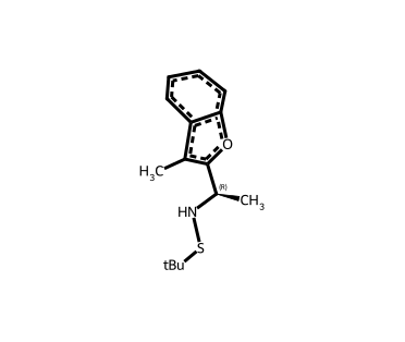 Cc1c([C@@H](C)NSC(C)(C)C)oc2ccccc12